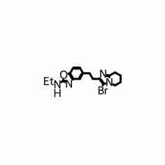 CCNc1nc2cc(CCc3nc4n(c3Br)CCCC4)ccc2o1